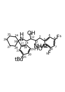 CC(=O)NC(Cc1cc(F)cc(F)c1O)C(O)CNC1(c2cccc(C(C)(C)C)c2)CCCCC1